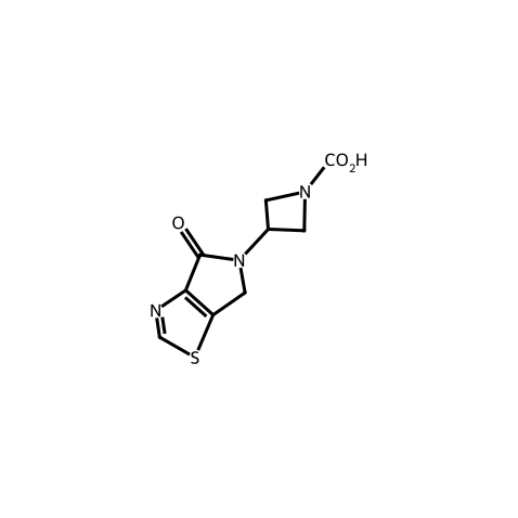 O=C(O)N1CC(N2Cc3scnc3C2=O)C1